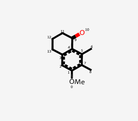 COc1cc2c(c(C)c1C)C(=O)CCC2